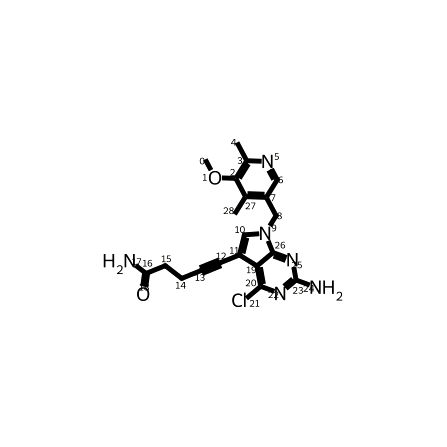 COc1c(C)ncc(Cn2cc(C#CCCC(N)=O)c3c(Cl)nc(N)nc32)c1C